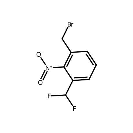 O=[N+]([O-])c1c(CBr)cccc1C(F)F